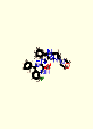 O=C(N[C@H]1N=C(c2ccccc2)c2cccc(F)c2NC1=O)c1c(-c2ccccc2)nc2ccc(N3CCOCC3)nn12